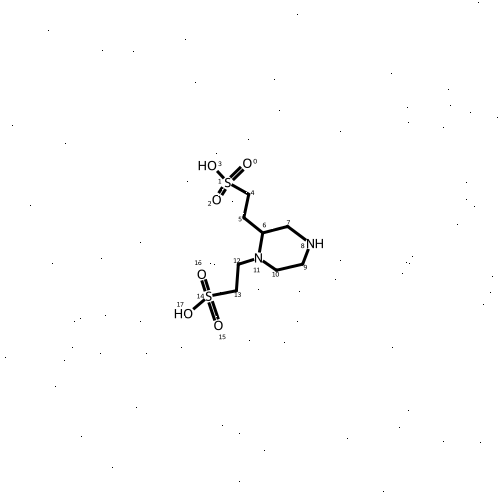 O=S(=O)(O)CCC1CNCCN1CCS(=O)(=O)O